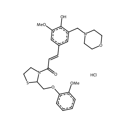 COc1ccccc1OCC1SCCN1C(=O)C=Cc1cc(CN2CCOCC2)c(O)c(OC)c1.Cl